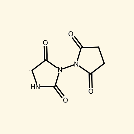 O=C1[CH]NC(=O)N1N1C(=O)CCC1=O